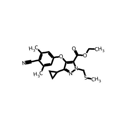 CCOC(=O)c1c(Oc2cc(C)c(C#N)c(C)c2)c(C2CC2)nn1CSC